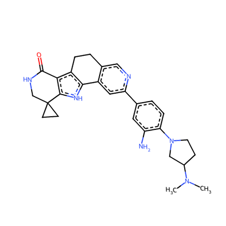 CN(C)C1CCN(c2ccc(-c3cc4c(cn3)CCc3c-4[nH]c4c3C(=O)NCC43CC3)cc2N)C1